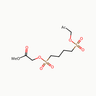 COC(=O)COS(=O)(=O)CCCCS(=O)(=O)OCC(C)=O